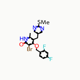 CSc1ncc(Cc2c(C)[nH]c(=O)c(Br)c2OCc2ccc(F)cc2F)cn1